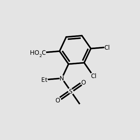 CCN(c1c(C(=O)O)ccc(Cl)c1Cl)S(C)(=O)=O